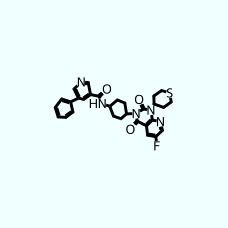 O=C(NC1CCC(n2c(=O)c3cc(F)cnc3n(C3CCSCC3)c2=O)CC1)c1cncc(-c2ccccc2)c1